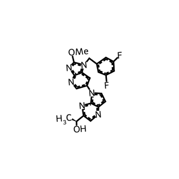 COc1nc2ncc(-n3ccc4ncc([C@H](C)O)nc43)cc2n1Cc1cc(F)cc(F)c1